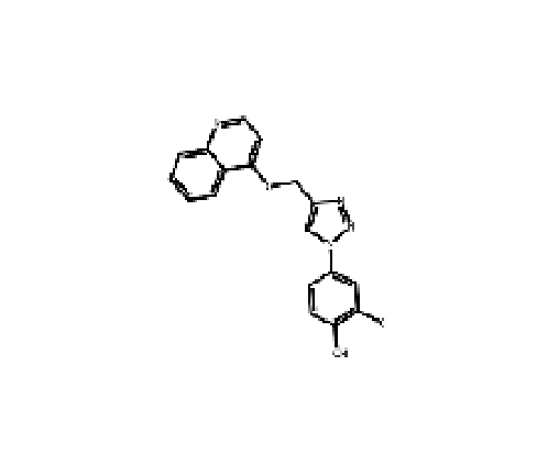 N#Cc1ccc(-n2cc(COc3ccnc4ccccc34)nn2)cc1Cl